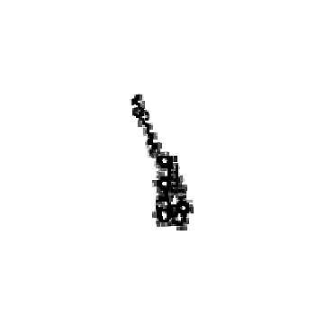 C=CCOOCCCCCCOc1ccc(OOC[C@@](C)(c2ccccc2)C2Oc3ccc4c(c3[C@H]3c5ccccc5CC[C@H]3O2)CCCC4)cc1